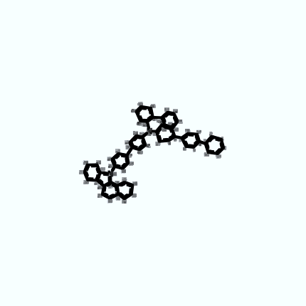 c1ccc(-c2ccc(-c3ccc(N(c4ccc(-c5ccc(-n6c7ccccc7c7ccc8ccccc8c76)cc5)cc4)c4ccccc4-c4ccccc4)cc3)cc2)cc1